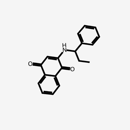 CCC(NC1=CC(=O)c2ccccc2C1=O)c1ccccc1